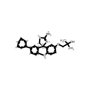 CC(C)(O)COc1ccc2c(c1)[C@]1(COC(N)=N1)c1cc(-c3ccccc3)ccc1O2